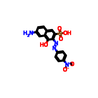 Nc1ccc2cc(S(=O)(=O)O)c(N=Nc3ccc([N+](=O)[O-])cc3)c(O)c2c1